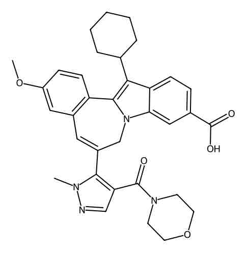 COc1ccc2c(c1)C=C(c1c(C(=O)N3CCOCC3)cnn1C)Cn1c-2c(C2CCCCC2)c2ccc(C(=O)O)cc21